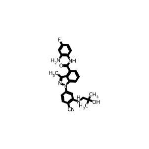 Cc1nn(-c2ccc(C#N)c(NCC(C)(C)O)c2)c2cccc(C(=O)Nc3ccc(F)cc3N)c12